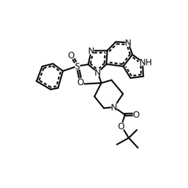 CC(C)(C)OC(=O)N1CCC(C)(n2c(S(=O)(=O)c3ccccc3)nc3cnc4[nH]ccc4c32)CC1